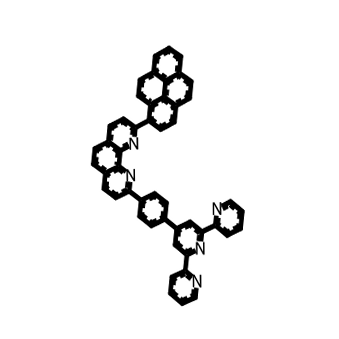 c1ccc(-c2cc(-c3ccc(-c4ccc5ccc6ccc(-c7ccc8ccc9cccc%10ccc7c8c9%10)nc6c5n4)cc3)cc(-c3ccccn3)n2)nc1